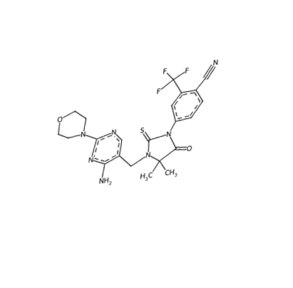 CC1(C)C(=O)N(c2ccc(C#N)c(C(F)(F)F)c2)C(=S)N1Cc1cnc(N2CCOCC2)nc1N